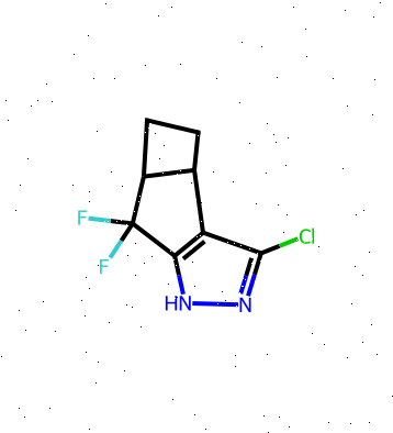 FC1(F)c2[nH]nc(Cl)c2C2CCC21